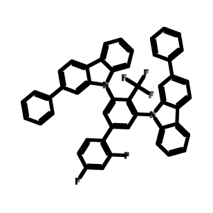 Fc1ccc(-c2cc(-n3c4ccccc4c4ccc(-c5ccccc5)cc43)c(C(F)(F)F)c(-n3c4ccccc4c4ccc(-c5ccccc5)cc43)c2)c(F)c1